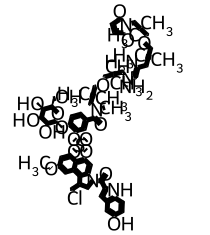 COc1ccc2c(OS(=O)(=O)Oc3cc(C(=O)N(C)CC(C)(C)COCC(C)(C)CN(N)/C=C(\N)CC(C)(C)COCC(C)(C)CN4C(=O)C=CC4=O)ccc3O[C@@H]3O[C@H](CO)[C@H](O)[C@H](O)[C@@H]3O)cc3c(c2c1)C(CCl)CN3C(=O)c1cc2cc(O)ccc2[nH]1